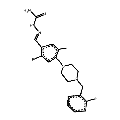 NC(=S)NN=Cc1cc(F)c(N2CCN(Cc3ccccc3F)CC2)cc1F